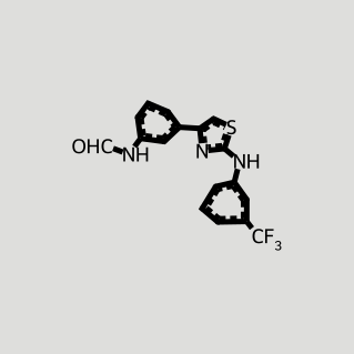 O=CNc1cccc(-c2csc(Nc3cccc(C(F)(F)F)c3)n2)c1